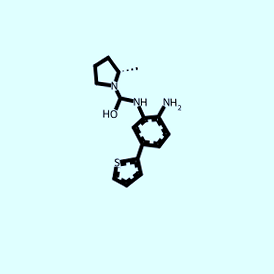 C[C@H]1CCCN1C(O)Nc1cc(-c2cccs2)ccc1N